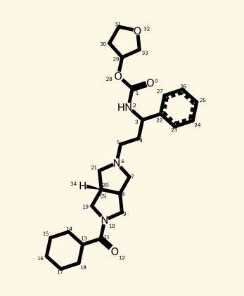 O=C(NC(CCN1CC2CN(C(=O)C3CCCCC3)C[C@@H]2C1)c1ccccc1)OC1CCOC1